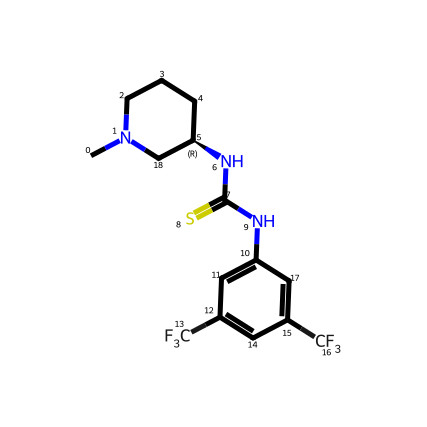 CN1CCC[C@@H](NC(=S)Nc2cc(C(F)(F)F)cc(C(F)(F)F)c2)C1